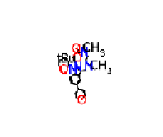 CN(CCN(C)C(=O)OC(C)(C)C)Cc1nn(C2CCCCO2)c2ccc(C3CCOCC3)cc12